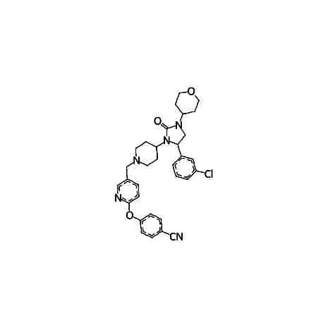 N#Cc1ccc(Oc2ccc(CN3CCC(N4C(=O)N(C5CCOCC5)CC4c4cccc(Cl)c4)CC3)cn2)cc1